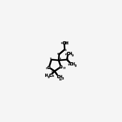 CC(C)C1(CCO)COC(C)(C)O1